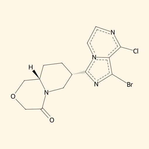 O=C1COC[C@@H]2CC[C@H](c3nc(Br)c4c(Cl)nccn34)CN12